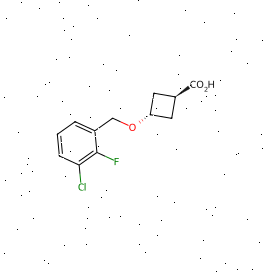 O=C(O)[C@H]1C[C@H](OCc2cccc(Cl)c2F)C1